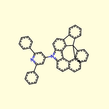 c1ccc(-c2cc(-n3c4ccc5c6c4c4c7c(cccc7ccc43)C6(c3ccccc3)c3ccccc3-5)cc(-c3ccccc3)n2)cc1